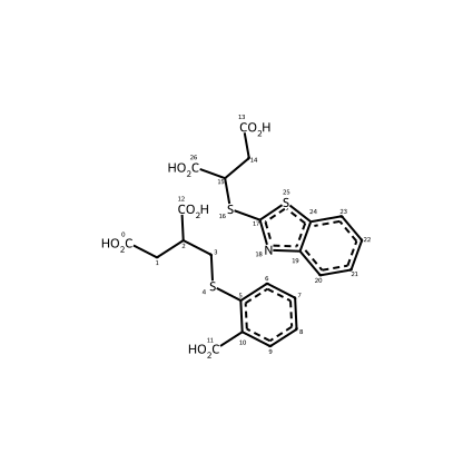 O=C(O)CC(CSc1ccccc1C(=O)O)C(=O)O.O=C(O)CC(Sc1nc2ccccc2s1)C(=O)O